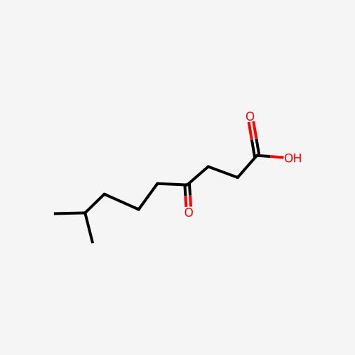 CC(C)CCCC(=O)CCC(=O)O